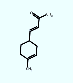 CC(=O)C=CC1CC=C(C)CC1